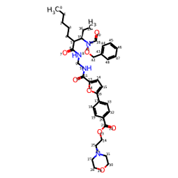 CCCCCC(C(=O)NCNC(=O)c1ccc(-c2ccc(C(=O)OCCN3CCOCC3)cc2)o1)[C@@H](CC)N(C=O)OCc1ccccc1